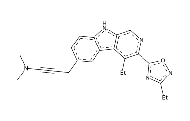 CCc1noc(-c2ncc3[nH]c4ccc(CC#CN(C)C)cc4c3c2CC)n1